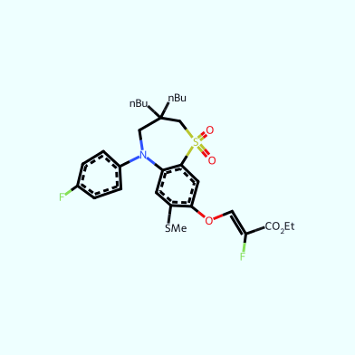 CCCCC1(CCCC)CN(c2ccc(F)cc2)c2cc(SC)c(O/C=C(\F)C(=O)OCC)cc2S(=O)(=O)C1